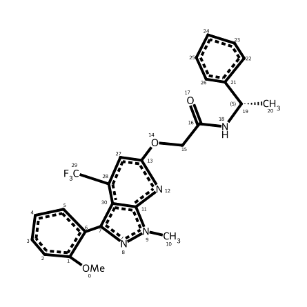 COc1ccccc1-c1nn(C)c2nc(OCC(=O)N[C@@H](C)c3ccccc3)cc(C(F)(F)F)c12